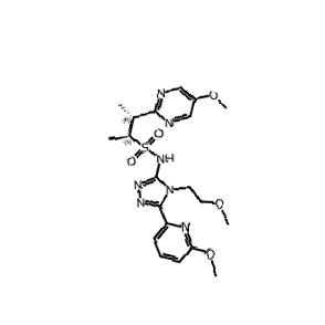 COCCn1c(NS(=O)(=O)[C@@H](C)[C@H](C)c2ncc(OC)cn2)nnc1-c1cccc(OC)n1